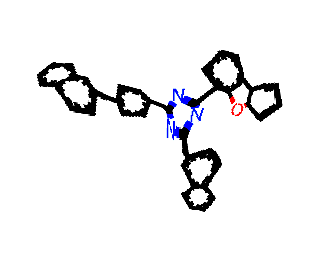 C1=CC2Oc3c(-c4nc(-c5ccc(-c6ccc7ccccc7c6)cc5)nc(-c5ccc6ccccc6c5)n4)cccc3C2C=C1